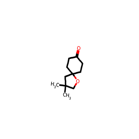 CC1(C)COC2(CCC(=O)CC2)C1